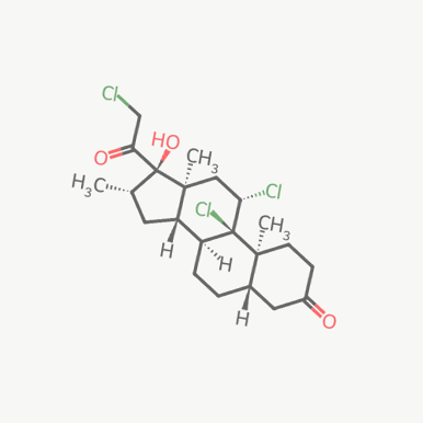 C[C@H]1C[C@H]2[C@@H]3CC[C@H]4CC(=O)CC[C@]4(C)[C@@]3(Cl)[C@@H](Cl)C[C@]2(C)[C@@]1(O)C(=O)CCl